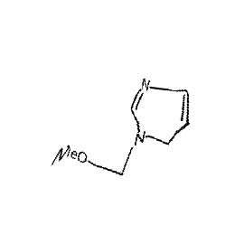 COCN1C=NC=CC1